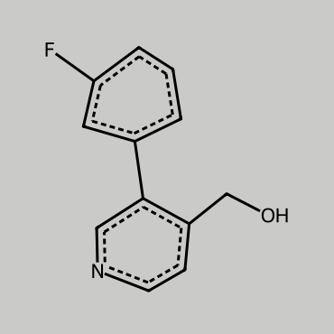 OCc1ccncc1-c1cccc(F)c1